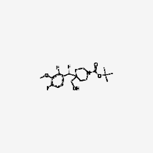 COc1c(F)ccc(C(F)C2(CO)CCN(C(=O)OC(C)(C)C)CC2)c1F